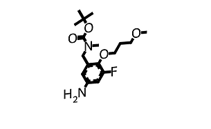 COCCCOc1c(F)cc(N)cc1CN(C)C(=O)OC(C)(C)C